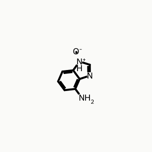 Nc1cccc2c1N=C[NH+]2[O-]